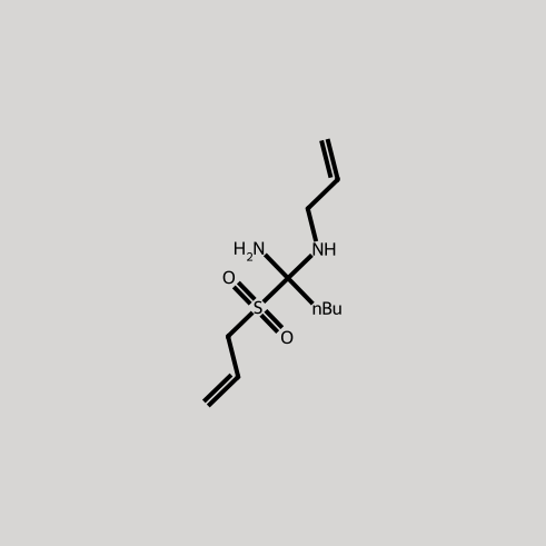 C=CCNC(N)(CCCC)S(=O)(=O)CC=C